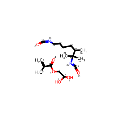 C=C(C)C(=O)OCC(O)O.CC(CCCCN=C=O)C(C)(C)N=C=O